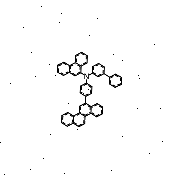 c1ccc(-c2cccc(N(c3ccc(-c4cc5c6ccccc6ccc5c5ccccc45)cc3)c3cc4ccccc4c4ccccc34)c2)cc1